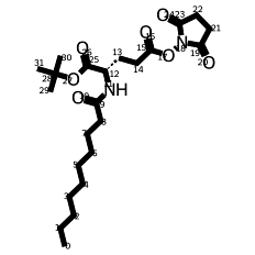 CCCCCCCCCC(=O)N[C@@H](CCC(=O)ON1C(=O)CCC1=O)C(=O)OC(C)(C)C